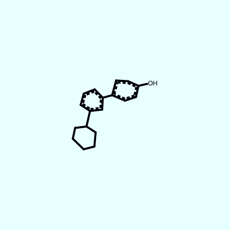 Oc1ccc(-c2cccc(C3CCCCC3)c2)cc1